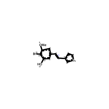 COc1cc(/C=C/c2ccsc2)cc(O)c1Br